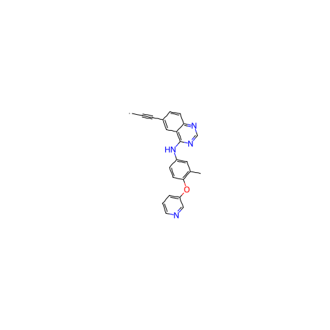 [CH2]C#Cc1ccc2ncnc(Nc3ccc(Oc4cccnc4)c(C)c3)c2c1